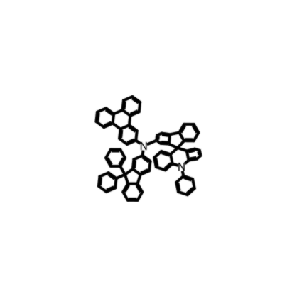 c1ccc(N2c3ccccc3C3(c4ccccc4-c4ccc(N(c5ccc6c(c5)C(c5ccccc5)(c5ccccc5)c5ccccc5-6)c5ccc6c7ccccc7c7ccccc7c6c5)cc43)c3ccccc32)cc1